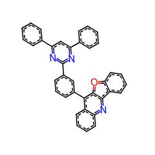 c1ccc(-c2cc(-c3ccccc3)nc(-c3cccc(-c4c5ccccc5nc5c4oc4ccccc45)c3)n2)cc1